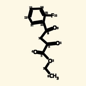 CCOC(=O)C(=O)CC(=O)c1ccccc1F